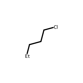 CCCCCCl